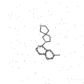 Ic1ccc2ccnc(N3CCC4(CCOC4)C3)c2c1